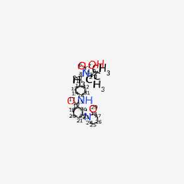 CC(C)(C)N(C(=O)O)C1CC1c1ccc(NC(=O)c2cccc(N3CCCCC3=O)c2)cc1